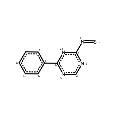 S=Nc1ncnc(-c2ccccc2)n1